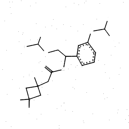 O=C(CC1(O)CC(F)(F)C1)NC(COC(F)F)c1cccc(OC(F)F)c1